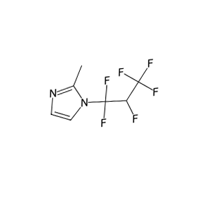 Cc1nccn1C(F)(F)C(F)C(F)(F)F